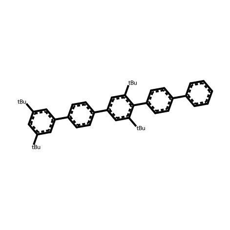 CC(C)(C)c1cc(-c2ccc(-c3cc(C(C)(C)C)c(-c4ccc(-c5ccccc5)cc4)c(C(C)(C)C)c3)cc2)cc(C(C)(C)C)c1